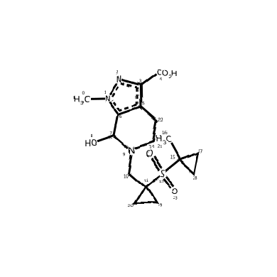 Cn1nc(C(=O)O)c2c1C(O)N(CC1(S(=O)(=O)C3(C)CC3)CC1)CC2